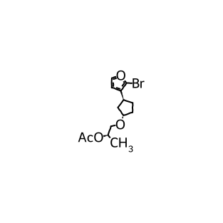 CC(=O)O[C@H](C)CO[C@H]1CC[C@H](c2ccoc2Br)C1